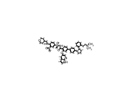 CN(C)CCc1ccccc1C1CCCN1c1ccc(-c2ccc(C(=O)NS(=O)(=O)c3ccc(NCC4CCOCC4)c([N+](=O)[O-])c3)c(Oc3cnc4[nH]ccc4c3)c2)cc1